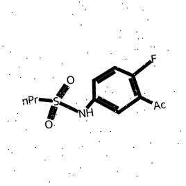 CCCS(=O)(=O)Nc1ccc(F)c(C(C)=O)c1